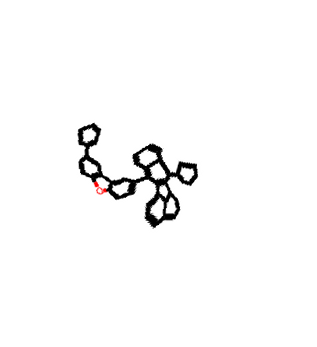 c1ccc(-c2ccc3oc4ccc(-c5c6c(c(-c7ccccc7)c7ccccc57)-c5cccc7cccc-6c57)cc4c3c2)cc1